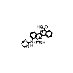 O=S(=O)(O)c1ccccc1C=Cc1cccc(Nc2ncncn2)c1S(=O)(=O)O